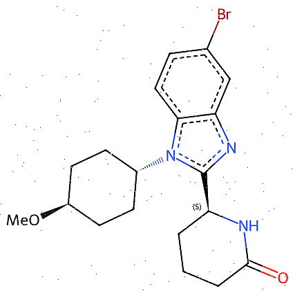 CO[C@H]1CC[C@H](n2c([C@@H]3CCCC(=O)N3)nc3cc(Br)ccc32)CC1